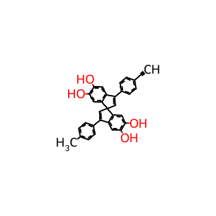 C#Cc1ccc(C2=CC3(C=C(c4ccc(C)cc4)c4cc(O)c(O)cc43)c3cc(O)c(O)cc32)cc1